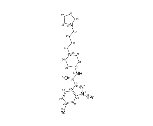 CCCn1nc(C(=O)NC2CCN(CCCCN3CCCC3)CC2)c2ccc(CC)cc21